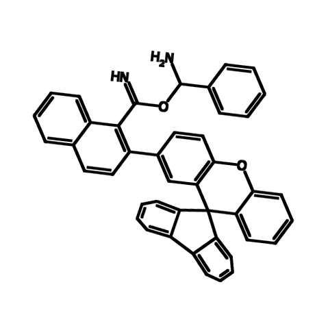 N=C(OC(N)c1ccccc1)c1c(-c2ccc3c(c2)C2(c4ccccc4O3)c3ccccc3-c3ccccc32)ccc2ccccc12